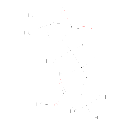 COC(=O)C(CC(C)(C)C(C)(C)C(CC(C)(C)C)C(=O)O)C(C)(C)C